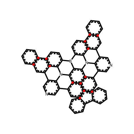 c1ccc(-c2ccc3c(c2)N(c2c(-c4ccccc4)cncc2-c2ccccc2)c2cc(-n4c5ccccc5c5ccccc54)cc4c2B3c2ccc(-c3ccccc3)cc2N4c2c(-c3ccccc3)cncc2-c2ccccc2)cc1